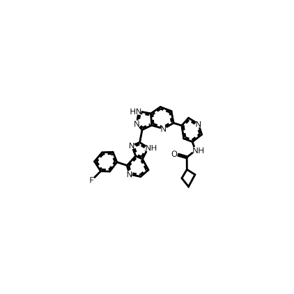 O=C(Nc1cncc(-c2ccc3[nH]nc(-c4nc5c(-c6cccc(F)c6)nccc5[nH]4)c3n2)c1)C1CCC1